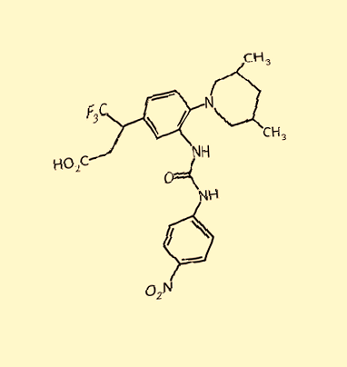 CC1CC(C)CN(c2ccc(C(CC(=O)O)C(F)(F)F)cc2NC(=O)Nc2ccc([N+](=O)[O-])cc2)C1